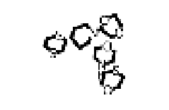 C1CCN(C2COCCO2)CC1.C1COCCN1.C1CSCCO1.C1CSCCS1